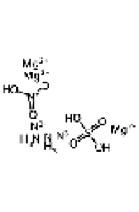 N.N.O=S(=O)(O)O.O=[N+]([O-])O.[Mg+2].[Mg+2].[Mg+2].[N-3].[N-3]